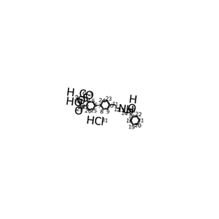 CS(=O)(=O)c1cc(-c2ccc(CCNC[C@H](O)c3ccccc3)cc2)ccc1C(=O)O.Cl